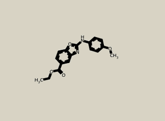 CCOC(=O)c1ccc2oc(Nc3ccc(OC)cc3)nc2c1